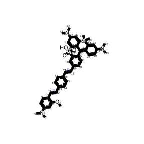 COc1cc(N(C)C)ccc1/C=C/c1ccc(/C=C/c2ccc(C3=C4C=CC(N(C)C)C=C4[Si](C)(C)C4=CC(N(C)C)C=CC43)c(S(=O)(=O)O)c2)cc1